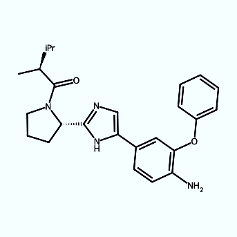 CC(C)[C@H](C)C(=O)N1CCC[C@H]1c1ncc(-c2ccc(N)c(Oc3ccccc3)c2)[nH]1